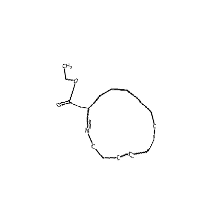 CCOC(=O)C1C=NCCCCCCCCCCCC1